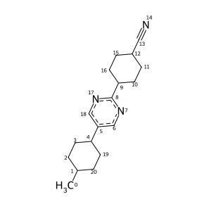 CC1CCC(c2cnc(C3CCC(C#N)CC3)nc2)CC1